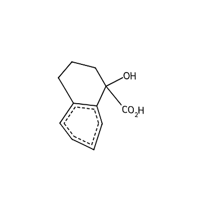 O=C(O)C1(O)CCCc2ccccc21